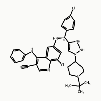 CC(C)(C)N1CCC(N2C=C([C@@H](Nc3cc(Cl)c4ncc(C#N)c(Nc5ccccc5)c4c3)c3ccc(Cl)cc3)NN2)CC1